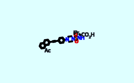 CC(=O)c1cccc2ccc(C#Cc3ccc(N4CCN(S(=O)(=O)N[C@@H](C(=O)O)C(C)C)CC4)cc3)cc12